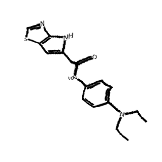 CCN(CC)c1ccc(NC(=O)c2cc3scnc3[nH]2)cc1